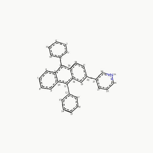 c1ccc(-c2c3ccccc3c(-c3ccccc3)c3cc(-c4cccnc4)ccc23)cc1